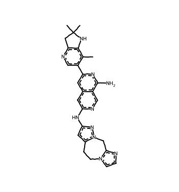 Cc1c(-c2cc3cc(Nc4cc5n(n4)Cc4nccn4CC5)ncc3c(N)n2)cnc2c1NC(C)(C)C2